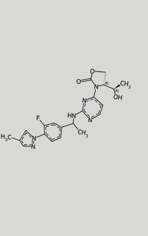 Cc1cnn(-c2ccc(C(C)Nc3nccc(N4C(=O)OC[C@@H]4[C@@H](C)O)n3)cc2F)c1